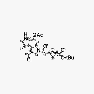 CC(=O)Oc1cc2c(c3c(C)c[nH]c13)[C@H](CCl)CN2C(=O)CC12CC(C(=O)OC(C)(C)C)(C1)C2